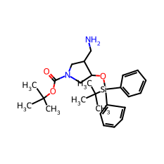 CC(C)(C)OC(=O)N1CC(CN)C(O[Si](c2ccccc2)(c2ccccc2)C(C)(C)C)C1